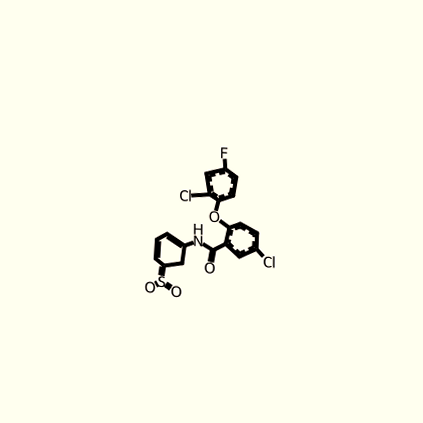 O=C(NC1=CC=CC(=S(=O)=O)C1)c1cc(Cl)ccc1Oc1ccc(F)cc1Cl